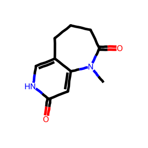 CN1C(=O)CCCc2c[nH]c(=O)cc21